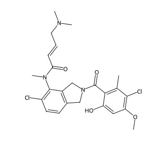 COc1cc(O)c(C(=O)N2Cc3ccc(Cl)c(N(C)C(=O)/C=C/CN(C)C)c3C2)c(C)c1Cl